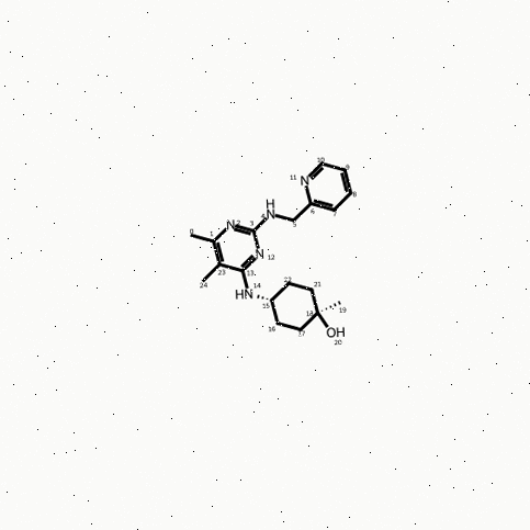 Cc1nc(NCc2ccccn2)nc(N[C@H]2CC[C@](C)(O)CC2)c1C